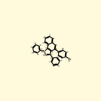 Brc1ccc(-c2cc3ccccc3c3c2c(-c2ccccc2)nn3-c2ccccc2)cc1